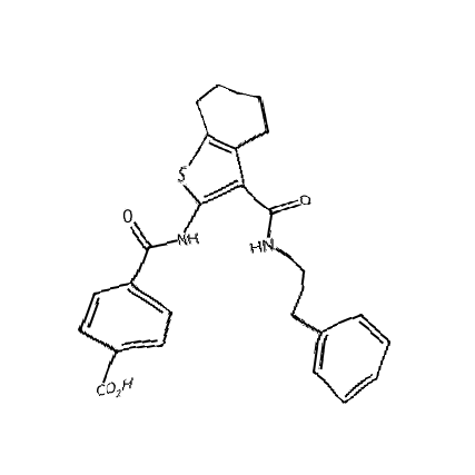 O=C(O)c1ccc(C(=O)Nc2sc3c(c2C(=O)NCCc2ccccc2)CCCC3)cc1